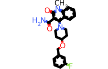 Cn1c(=O)c(C(N)=O)c(N2CCC(OCc3cccc(F)c3)CC2)c2ccccc21